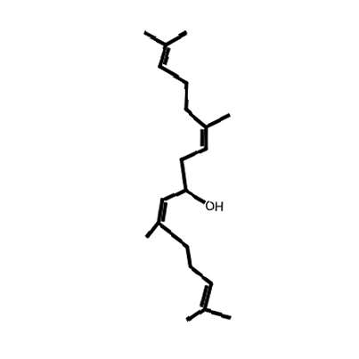 CC(C)=CCC/C(C)=C\CC(O)/C=C(/C)CCC=C(C)C